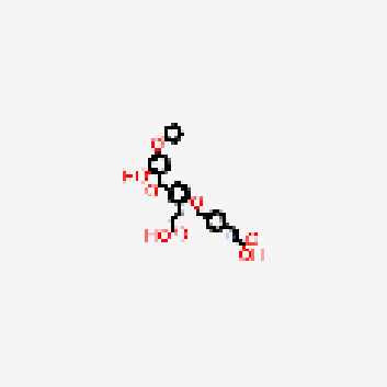 O=C(O)/C=C/c1ccc(COc2ccc(C(=O)c3ccc(OC4CCCC4)cc3O)cc2CCC(=O)O)cc1